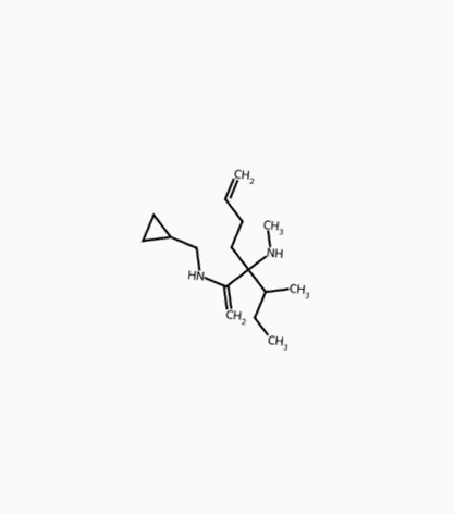 C=CCCC(NC)(C(=C)NCC1CC1)C(C)CC